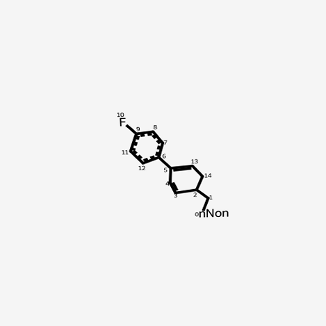 CCCCCCCCCCC1C=CC(c2ccc(F)cc2)=CC1